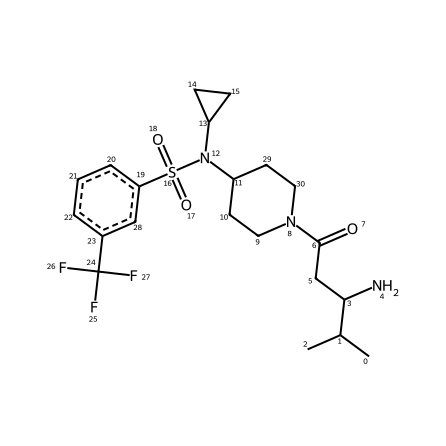 CC(C)C(N)CC(=O)N1CCC(N(C2CC2)S(=O)(=O)c2cccc(C(F)(F)F)c2)CC1